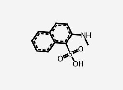 CNc1ccc2ccccc2c1S(=O)(=O)O